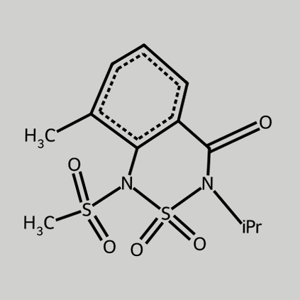 Cc1cccc2c1N(S(C)(=O)=O)S(=O)(=O)N(C(C)C)C2=O